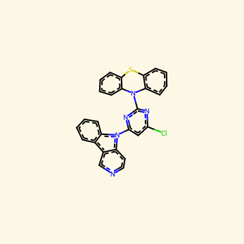 Clc1cc(-n2c3ccccc3c3cnccc32)nc(N2c3ccccc3Sc3ccccc32)n1